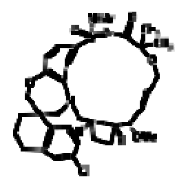 CO[C@H]1/C=C/COC(C)(C)C(=O)N=[S@@](=O)(NC(C)=O)c2ccc3c(c2)N(C[C@@H]2CC[C@H]21)C[C@@]1(CCCc2cc(Cl)ccc21)CO3